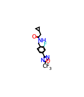 O=C(CC1CC1)NCc1ccc(-c2noc(C(F)(F)F)n2)cc1F